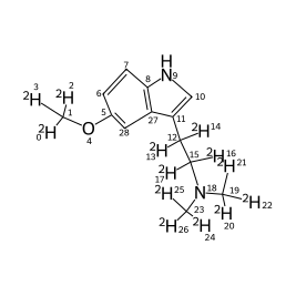 [2H]C([2H])([2H])Oc1ccc2[nH]cc(C([2H])([2H])C([2H])([2H])N(C([2H])([2H])[2H])C([2H])([2H])[2H])c2c1